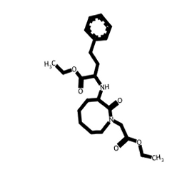 CCOC(=O)CN1CCCCCC(NC(CCc2ccccc2)C(=O)OCC)C1=O